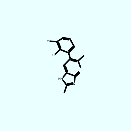 C=c1nc(C)[nH]/c1=C/C(=C(C)C)c1cccc(Cl)c1Cl